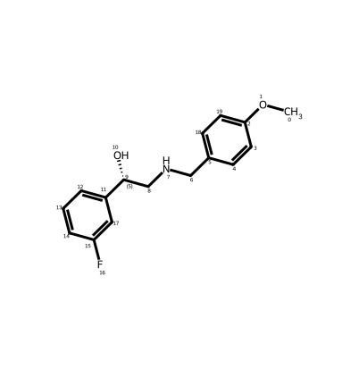 COc1ccc(CNC[C@@H](O)c2cccc(F)c2)cc1